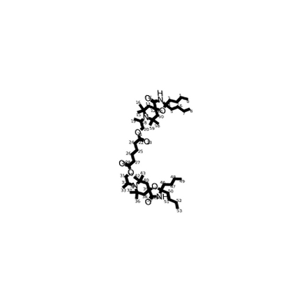 CCCCC1(CCCC)NC(=O)C2(CC(C)(C)N(C(C)COC(=O)CCCCC(=O)OCC(C)N3C(C)(C)CC4(CC3(C)C)OC(CCCC)(CCCC)NC4=O)C(C)(C)C2)O1